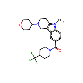 Cn1c2c(c3cc(C(=O)N4CCC(C(F)(F)F)CC4)ccc31)CN(C1CCOCC1)CC2